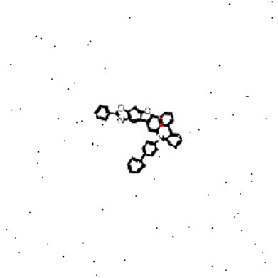 c1ccc(-c2ccc(N(c3ccc4oc5cc6oc(-c7ccccc7)nc6cc5c4c3)c3ccccc3-c3ccccc3)cc2)cc1